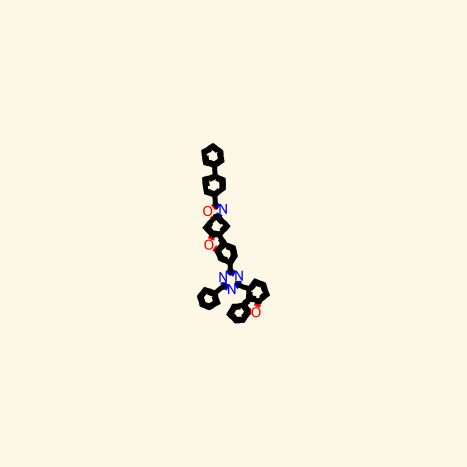 c1ccc(-c2ccc(-c3nc4cc5c(cc4o3)oc3cc(-c4nc(-c6ccccc6)nc(-c6cccc7oc8ccccc8c67)n4)ccc35)cc2)cc1